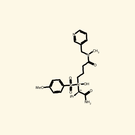 COc1ccc(S(=O)(=O)[N+](O)(CCCC(=O)N(C)Cc2cccnc2)[C@@H](C(N)=O)C(C)C)cc1